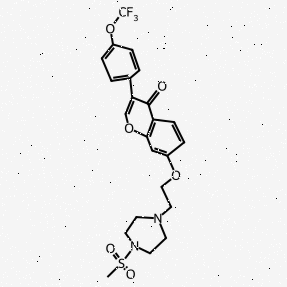 CS(=O)(=O)N1CCN(CCOc2ccc3c(=O)c(-c4ccc(OC(F)(F)F)cc4)coc3c2)CC1